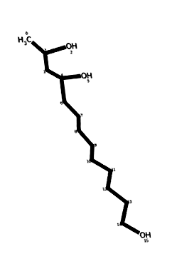 CC(O)CC(O)CCCCCCCCCO